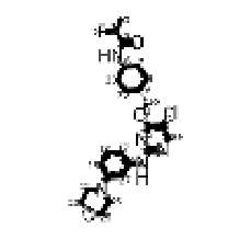 CC(F)C(=O)N[C@H]1CC[C@H](COc2nc(Nc3cccc(N4CCOCC4)c3)ncc2Cl)CC1